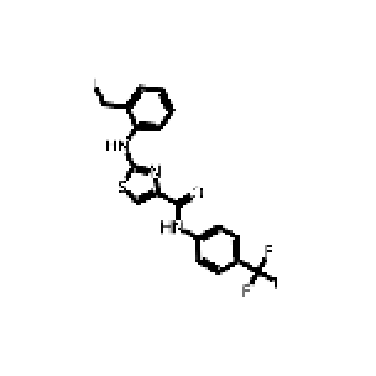 O=C(Nc1ccc(C(F)(F)F)cc1)c1csc(Nc2ccccc2CI)n1